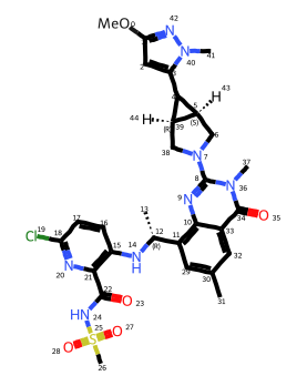 COc1cc(C2[C@H]3CN(c4nc5c([C@@H](C)Nc6ccc(Cl)nc6C(=O)NS(C)(=O)=O)cc(C)cc5c(=O)n4C)C[C@@H]23)n(C)n1